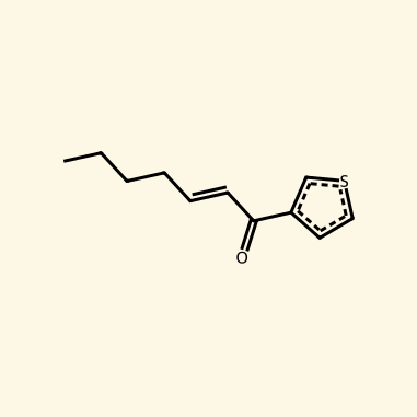 CCCC/C=C/C(=O)c1ccsc1